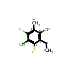 CCc1c(F)c(Cl)c(F)c(C)c1Cl